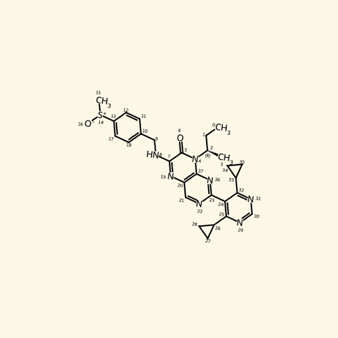 CC[C@@H](C)n1c(=O)c(NCc2ccc([S+](C)[O-])cc2)nc2cnc(-c3c(C4CC4)ncnc3C3CC3)nc21